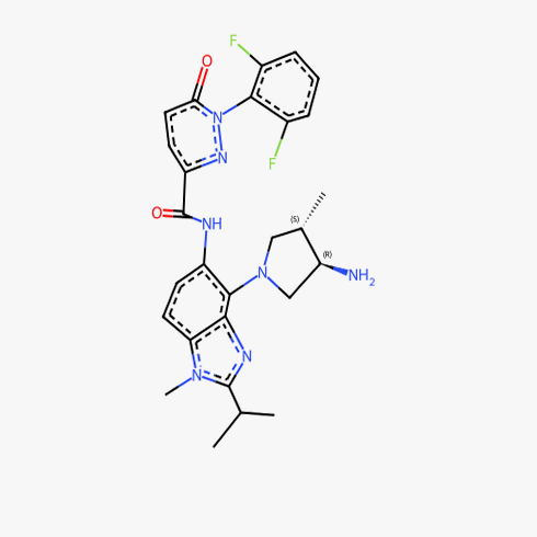 CC(C)c1nc2c(N3C[C@H](C)[C@@H](N)C3)c(NC(=O)c3ccc(=O)n(-c4c(F)cccc4F)n3)ccc2n1C